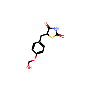 O=C1NC(=O)C(Cc2ccc(OCO)cc2)S1